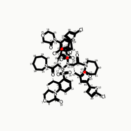 CCc1c(N2CCOCC2=O)cccc1S(=O)(=O)N([C@@H](Cc1cc(-c2ccc(Cl)s2)on1)C(=O)N1CCCCCC1)N([C@@H](Cc1cc(-c2ccc(Cl)s2)on1)C(=O)N1CCCCCC1)S(=O)(=O)c1cccc(N2CCOCC2=O)c1Cl